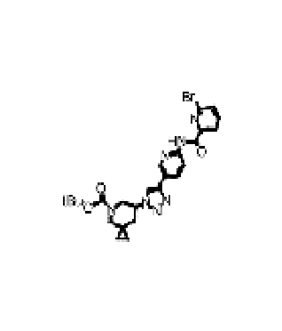 CC(C)(C)OC(=O)N1CC(n2cc(-c3ccc(NC(=O)c4cccc(Br)n4)nc3)nn2)CC2(CC2)C1